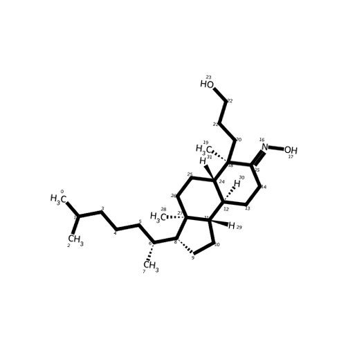 CC(C)CCC[C@@H](C)[C@H]1CC[C@H]2[C@@H]3CC/C(=N\O)[C@](C)(CCCO)[C@H]3CC[C@]12C